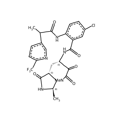 CNC(=O)C(=O)[C@H](C[C@@H]1C[C@@H](C)NC1=O)NC(=O)c1cc(Cl)ccc1NC(=O)C(C)c1ccc(C(F)(F)F)nc1